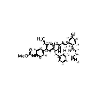 C=Cc1nnc([C@H](Cc2ccccc2)NC(=O)/C=C/c2cc(Cl)ccc2N(N)/C=N\N=C)cc1-c1ccc(NC(=O)OC)cc1